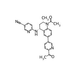 CC(=O)c1ccc(-c2ccc3c(c2)[C@H](Nc2ccc(C#N)cn2)C[C@H](C)N3C(C)=O)cn1